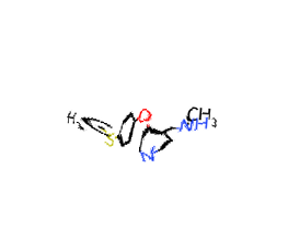 CNCc1ccncc1Oc1ccc(SC)cc1